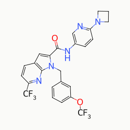 O=C(Nc1ccc(N2CCC2)nc1)c1cc2ccc(C(F)(F)F)nc2n1Cc1cccc(OC(F)(F)F)c1